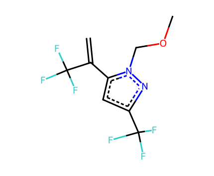 C=C(c1cc(C(F)(F)F)nn1COC)C(F)(F)F